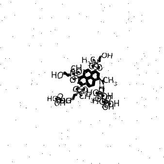 CNc1cc(S(=O)(=O)N(C)CCO)c2ccc3c(S(=O)(=O)N(C)CCO)cc(S(=O)(=O)N(C)CCO)c4ccc1c2c43.O=P(O)(O)O.O=P(O)(O)O.O=P(O)(O)O